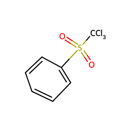 O=S(=O)(c1ccccc1)C(Cl)(Cl)Cl